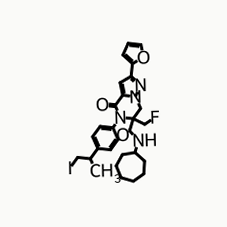 CC(CI)c1ccc(N2C(=O)c3cc(-c4ccco4)nn3CC2(CF)C(=O)NC2CCCCCC2)cc1